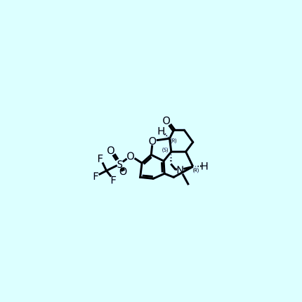 CN1CC[C@]23c4c5ccc(OS(=O)(=O)C(F)(F)F)c4O[C@H]2C(=O)CCC3[C@H]1C5